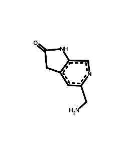 NCc1cc2c(cn1)NC(=O)C2